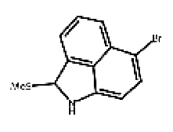 CSC1Nc2ccc(Br)c3cccc1c23